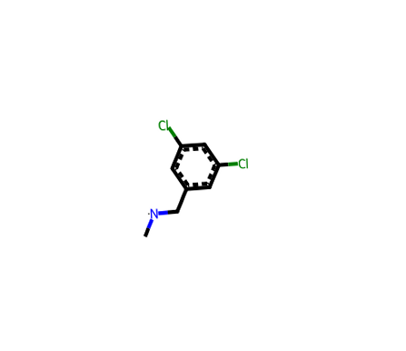 C[N]Cc1cc(Cl)cc(Cl)c1